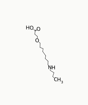 CCCCNCCCCCCCCOCCC(=O)O